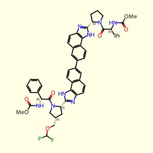 COC(=O)N[C@H](C(=O)N1CCC[C@H]1c1nc2ccc3cc(-c4ccc5c(ccc6nc([C@@H]7C[C@H](COC(F)F)CN7C(=O)[C@H](NC(=O)OC)c7ccccc7)[nH]c65)c4)ccc3c2[nH]1)C(C)C